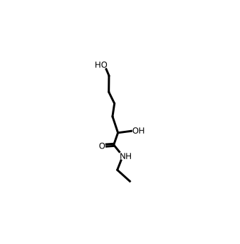 CCNC(=O)C(O)CCCCO